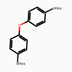 CCCCCCc1ccc(Oc2ccc(CCCCCC)cc2)cc1